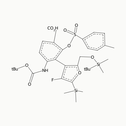 Cc1ccc(S(=O)(=O)Oc2c(C(=O)O)ccc(NC(=O)OC(C)(C)C)c2-c2c(CO[Si](C)(C)C(C)(C)C)oc([Si](C)(C)C)c2F)cc1